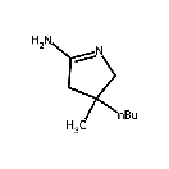 CCCCC1(C)CN=C(N)C1